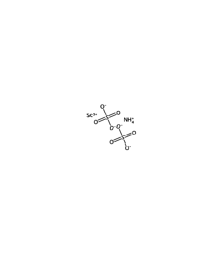 O=S(=O)([O-])[O-].O=S(=O)([O-])[O-].[NH4+].[Sc+3]